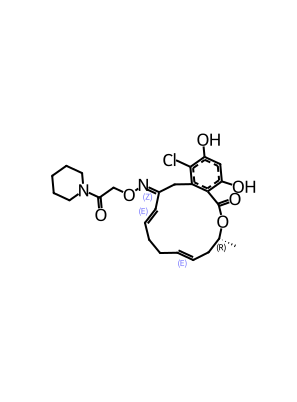 C[C@@H]1C/C=C/CC/C=C/C(=N\OCC(=O)N2CCCCC2)Cc2c(Cl)c(O)cc(O)c2C(=O)O1